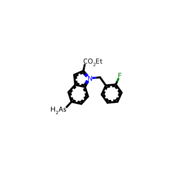 CCOC(=O)c1cc2cc([AsH2])ccc2n1Cc1ccccc1F